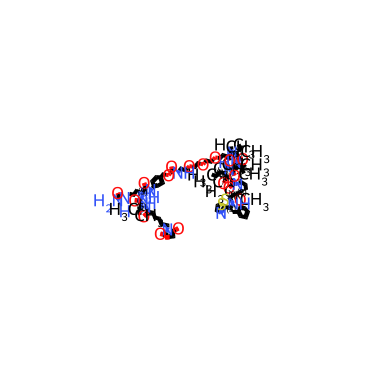 CC[C@H](C)[C@@H]([C@@H](CC(=O)N1CCC[C@H]1[C@H](OC)[C@@H](C)C(=S)N[C@@H](Cc1ccccc1)c1nccs1)OC)N(C)C(=O)[C@@H](NC(=O)[C@H](C(C)C)N(C)C(=O)CCOCCOCCOCCNC(=O)OCc1ccc(NC(=O)[C@H](CCCNC(N)=O)NC(=O)[C@@H](NC(=O)CCCCCN2C(=O)C=CC2=O)C(C)C)cc1)C(C)C